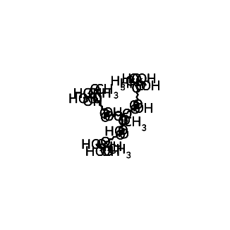 COCC(COCCCOP(=O)(O)OCCCCCCO[C@H](OC(CO)[C@H](O)CO)[C@H](C)NC(C)=O)(COCCCOP(=O)(O)OCCCCCCO[C@@H]1OC(CO)[C@H](O)C(O)[C@@H]1NC(C)=O)COCCCOP(=O)(O)OCCCCCCO[C@@H]1OC(CO)[C@H](O)C(O)[C@@H]1NC(C)=O